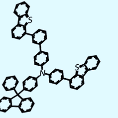 c1ccc(C2(c3ccc(N(c4ccc(-c5cccc(-c6cccc7c6sc6ccccc67)c5)cc4)c4ccc(-c5cccc6c5sc5ccccc56)cc4)cc3)c3ccccc3-c3ccccc32)cc1